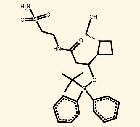 CC(C)(C)[Si](OC(CC(=O)NCCS(N)(=O)=O)[C@@H]1CC[C@H]1CO)(c1ccccc1)c1ccccc1